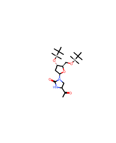 CC(=O)C1CN([C@H]2C[C@H](O[Si](C)(C)C(C)(C)C)[C@@H](CO[Si](C)(C)C(C)(C)C)O2)C(=O)N1